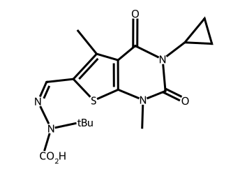 Cc1c(/C=N\N(C(=O)O)C(C)(C)C)sc2c1c(=O)n(C1CC1)c(=O)n2C